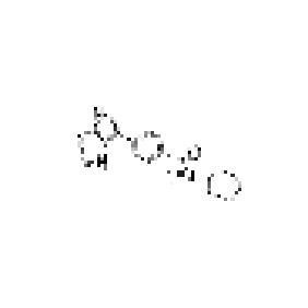 O=C(NC1CCCCC1)c1ccc(-c2cnc3cccnn23)cc1